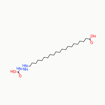 O=C(O)CCCCCCCCCCCCCCCCCCCCNNNC(=O)O